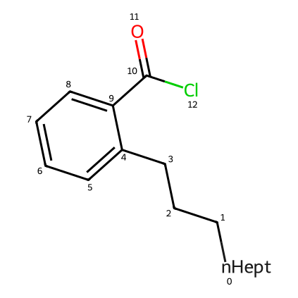 CCCCCCCCCCc1ccccc1C(=O)Cl